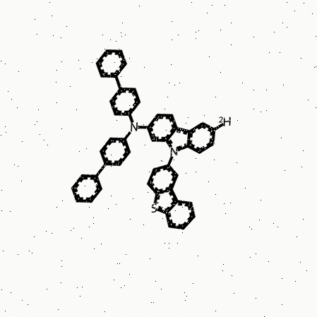 [2H]c1ccc2c(c1)c1ccc(N(c3ccc(-c4ccccc4)cc3)c3ccc(-c4ccccc4)cc3)cc1n2-c1ccc2sc3ccccc3c2c1